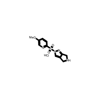 COc1ccc(S(=O)(=O)n2cc3c(n2)CNC3)nc1.Cl